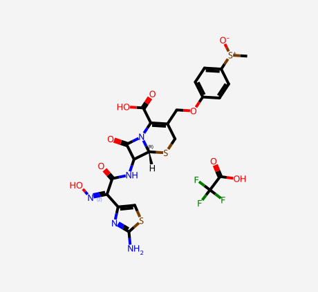 C[S+]([O-])c1ccc(OCC2=C(C(=O)O)N3C(=O)C(NC(=O)/C(=N\O)c4csc(N)n4)[C@H]3SC2)cc1.O=C(O)C(F)(F)F